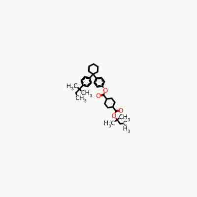 CCC(C)(C)OC(=O)C1CCC(C(=O)Oc2ccc(C3(c4ccc(C(C)(C)CC)cc4)CCCCC3)cc2)CC1